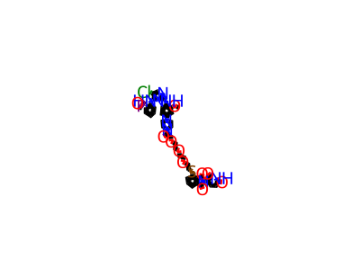 COc1cc(N2CCN(C(=O)COCCOCCOCCSc3cccc4c3C(=O)N(C3CCC(=O)NC3=O)C4=O)CC2)ccc1Nc1ncc(Cl)c(Nc2ccccc2P(C)(C)=O)n1